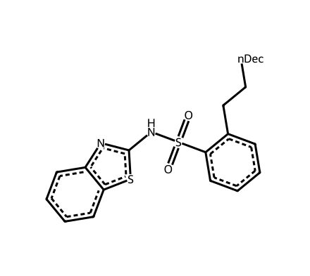 CCCCCCCCCCCCc1ccccc1S(=O)(=O)Nc1nc2ccccc2s1